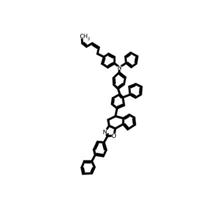 C/C=C\C=C/Cc1ccc(N(c2ccccc2)c2ccc(-c3ccc(C4CC5N=C(c6ccc(-c7ccccc7)cc6)OC5c5ccccc54)cc3-c3ccccc3)cc2)cc1